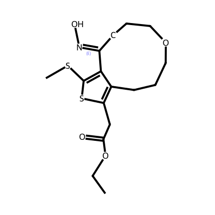 CCOC(=O)Cc1sc(SC)c2c1CCCOCCC/C2=N\O